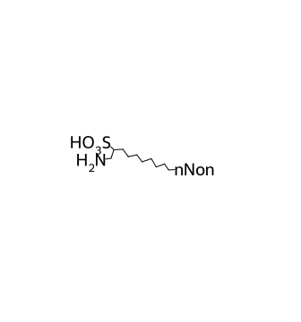 CCCCCCCCCCCCCCCCCC(CN)S(=O)(=O)O